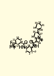 Cc1ccc(NC(=O)c2cccc(C(F)(F)F)c2)cc1NC(=O)c1cnn2cc(-c3ccccc3)ccc12